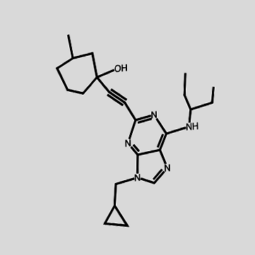 CCC(CC)Nc1nc(C#CC2(O)CCCC(C)C2)nc2c1ncn2CC1CC1